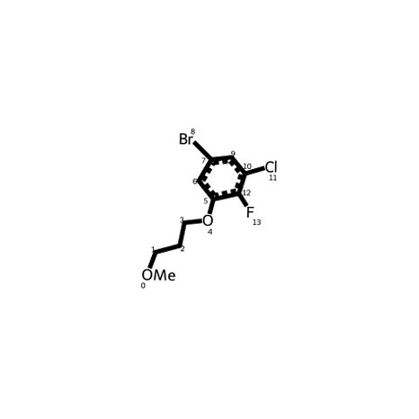 COCCCOc1cc(Br)cc(Cl)c1F